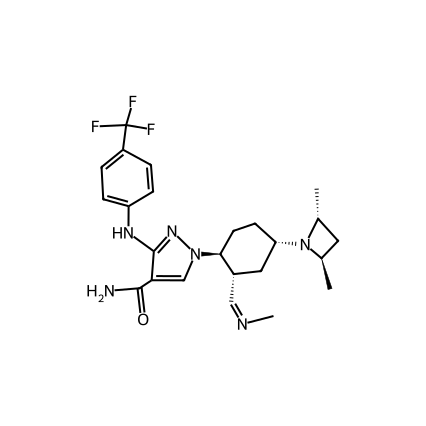 C/N=C\[C@H]1C[C@@H](N2[C@H](C)C[C@H]2C)CC[C@@H]1n1cc(C(N)=O)c(Nc2ccc(C(F)(F)F)cc2)n1